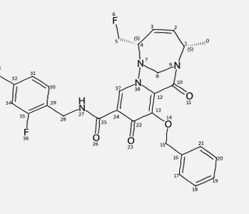 C[C@H]1C=C[C@@H](CF)N2CN1C(=O)c1c(OCc3ccccc3)c(=O)c(C(=O)NCc3ccc(F)cc3F)cn12